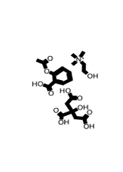 CC(=O)Oc1ccccc1C(=O)O.C[N+](C)(C)CCO.O=C(O)CC(O)(CC(=O)O)C(=O)O